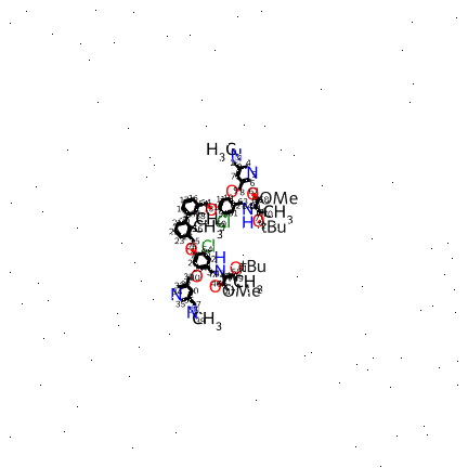 C/N=C/c1cncc(COc2cc(OCc3cccc(-c4cccc(COc5cc(OCc6cncc(/C=N/C)c6)c(CN[C@H](C(=O)OC)[C@@H](C)OC(C)(C)C)cc5Cl)c4C)c3C)c(Cl)cc2CN[C@H](C(=O)OC)[C@@H](C)OC(C)(C)C)c1